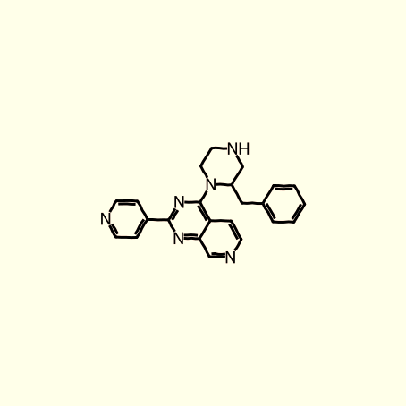 c1ccc(CC2CNCCN2c2nc(-c3ccncc3)nc3cnccc23)cc1